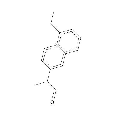 CCc1cccc2cc(C(C)C=O)ccc12